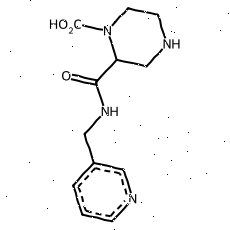 O=C(NCc1cccnc1)C1CNCCN1C(=O)O